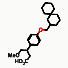 COCC(CC(=O)O)c1ccc(OCC2CCCC3(CCCCC3)C2)cc1